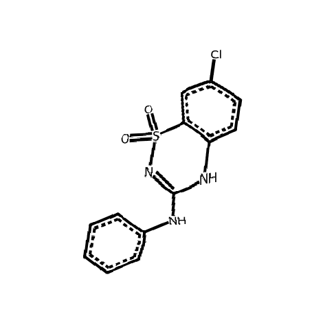 O=S1(=O)N=C(Nc2ccccc2)Nc2ccc(Cl)cc21